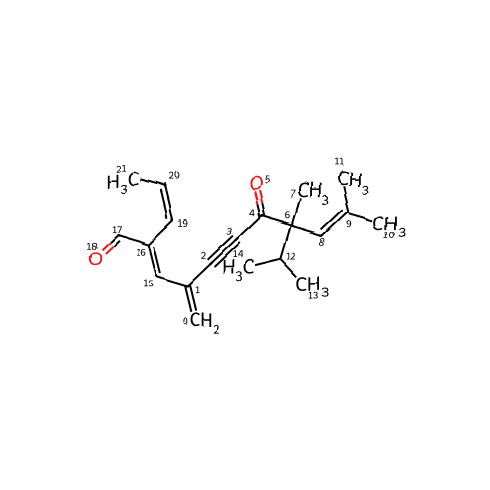 C=C(C#CC(=O)C(C)(C=C(C)C)C(C)C)/C=C(C=O)\C=C/C